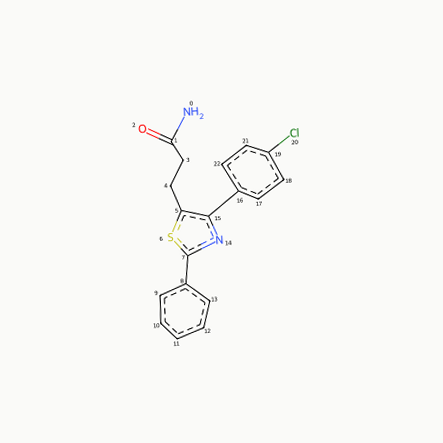 NC(=O)CCc1sc(-c2ccccc2)nc1-c1ccc(Cl)cc1